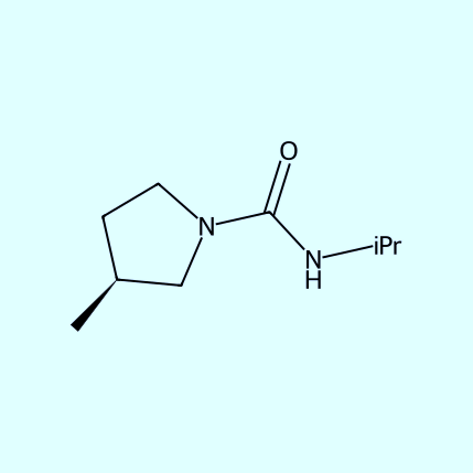 CC(C)NC(=O)N1CC[C@H](C)C1